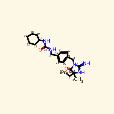 CC(C)CC1(C)NC(=N)N(Cc2ccc(CNC(=O)NC3CCCCC3)cc2)C1=O